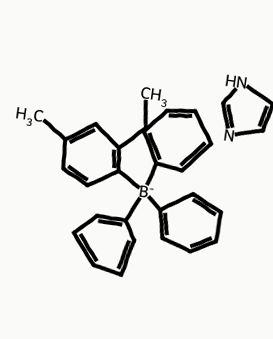 CCc1cc(C)ccc1[B-](c1ccccc1)(c1ccccc1)c1ccccc1.c1c[nH]cn1